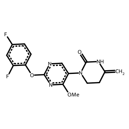 C=C1CCN(c2cnc(Oc3ccc(F)cc3F)nc2OC)C(=O)N1